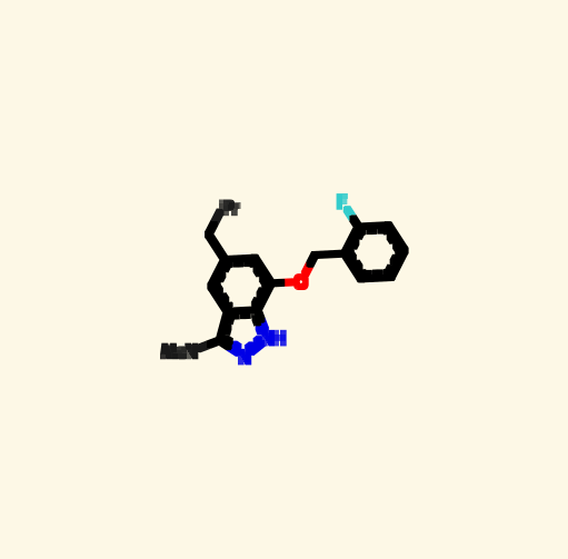 CNc1n[nH]c2c(OCc3ccccc3F)cc(CC(C)C)cc12